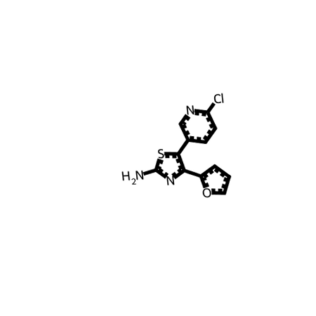 Nc1nc(-c2ccco2)c(-c2ccc(Cl)nc2)s1